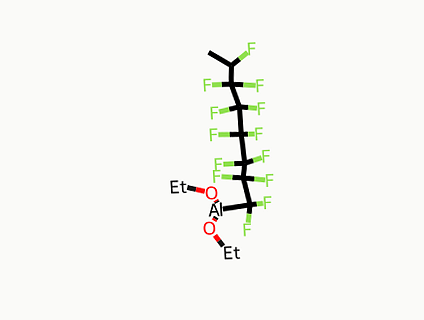 CC[O][Al]([O]CC)[C](F)(F)C(F)(F)C(F)(F)C(F)(F)C(F)(F)C(F)(F)C(C)F